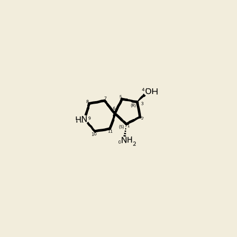 N[C@H]1C[C@H](O)CC12CCNCC2